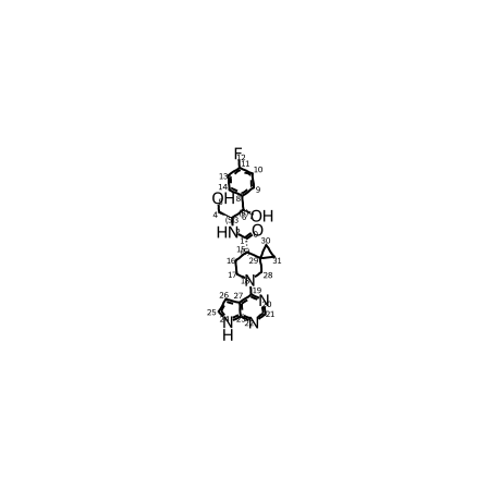 O=C(N[C@@H](CO)[C@H](O)c1ccc(F)cc1)[C@H]1CCN(c2ncnc3[nH]ccc23)CC12CC2